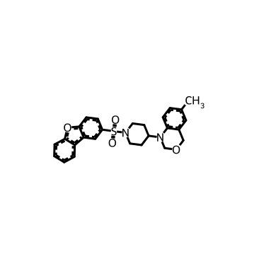 Cc1ccc2c(c1)COCN2C1CCN(S(=O)(=O)c2ccc3oc4ccccc4c3c2)CC1